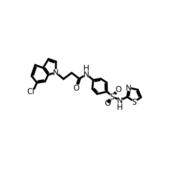 O=C(CCn1ccc2ccc(Cl)cc21)Nc1ccc(S(=O)(=O)Nc2nccs2)cc1